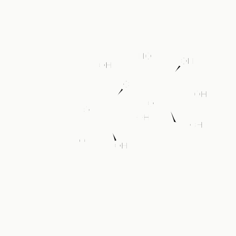 CC(C)CC(CC(C)C)O[C@@H]1O[C@H](CO)[C@@H](O[C@H]2O[C@H](CO)[C@@H](O)[C@H](O)[C@H]2O)[C@H](O)[C@H]1O